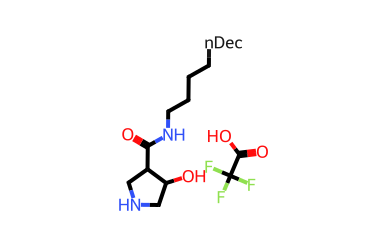 CCCCCCCCCCCCCCNC(=O)C1CNCC1O.O=C(O)C(F)(F)F